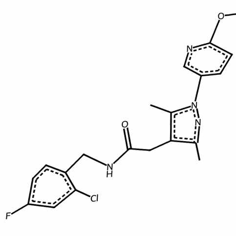 COc1ccc(-n2nc(C)c(CC(=O)NCc3ccc(F)cc3Cl)c2C)cn1